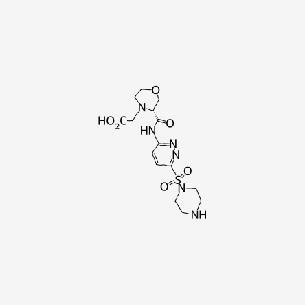 O=C(O)CN1CCOC[C@@H]1C(=O)Nc1ccc(S(=O)(=O)N2CCNCC2)nn1